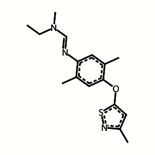 CCN(C)C=Nc1cc(C)c(Oc2cc(C)ns2)cc1C